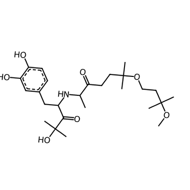 COC(C)(C)CCOC(C)(C)CCC(=O)C(C)NC(Cc1ccc(O)c(O)c1)C(=O)C(C)(C)O